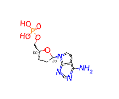 Nc1ncnc2c1ccn2[C@H]1CC[C@@H](COP(=O)(O)O)O1